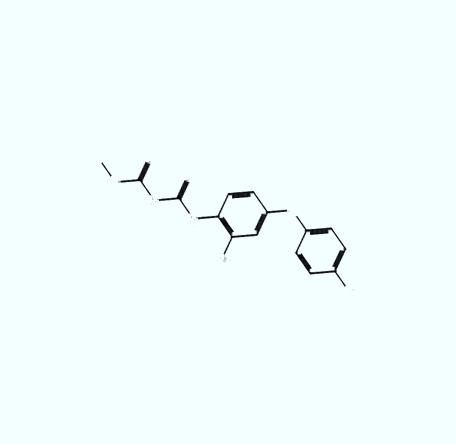 COC(=O)NC(=S)Nc1ccc(Oc2ccc(Cl)cc2)cc1N